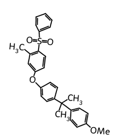 COc1ccc(C(C)(C)c2ccc(Oc3ccc(S(=O)(=O)c4ccccc4)c(C)c3)cc2)cc1